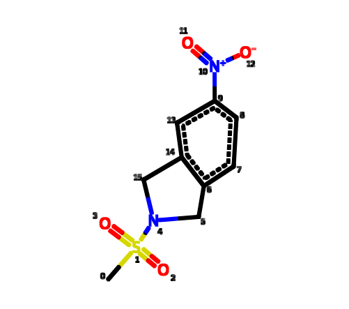 CS(=O)(=O)N1Cc2ccc([N+](=O)[O-])cc2C1